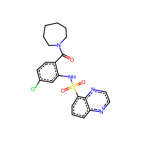 O=C(c1ccc(Cl)cc1NS(=O)(=O)c1cccc2nccnc12)N1CCCCCC1